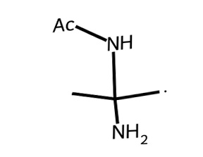 [CH2]C(C)(N)NC(C)=O